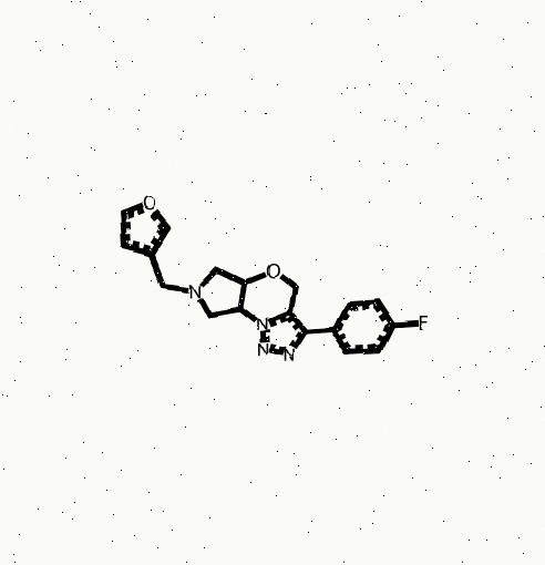 Fc1ccc(-c2nnn3c2COC2CN(Cc4ccoc4)CC23)cc1